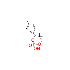 Cc1ccc(C2O[P](O)(O)OCC2(C)C)cc1